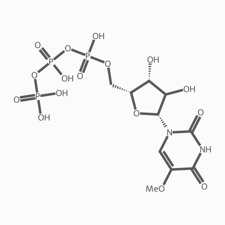 COc1cn([C@@H]2O[C@H](COP(=O)(O)OP(=O)(O)OP(=O)(O)O)[C@H](O)C2O)c(=O)[nH]c1=O